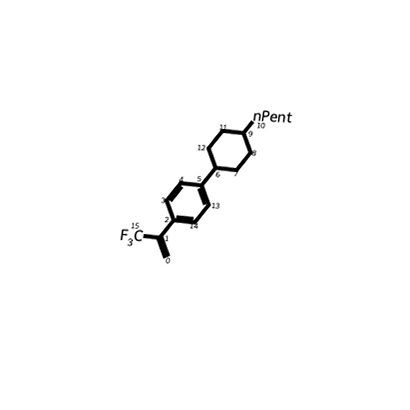 C=C(c1ccc(C2CCC(CCCCC)CC2)cc1)C(F)(F)F